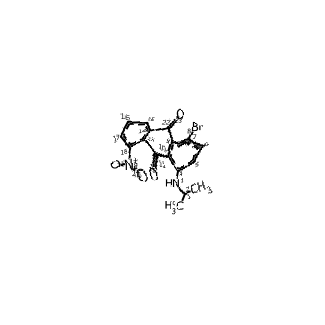 CC(C)Nc1ccc(Br)c2c1C(=O)c1c(cccc1[N+](=O)[O-])C2=O